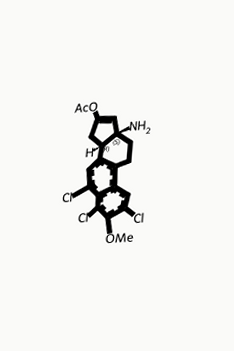 COc1c(Cl)cc2c3c(cc(Cl)c2c1Cl)[C@H]1CC(OC(C)=O)=C[C@]1(N)CC3